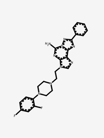 Nc1nc2c(ncn2CCN2CCN(c3ccc(F)cc3F)CC2)c2nc(-c3ccccc3)nn12